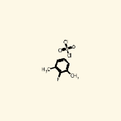 Cc1cccc(C)c1F.O=S(=O)(Cl)Cl